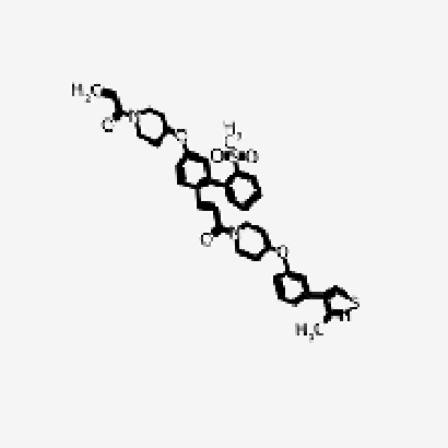 C=CC(=O)N1CCC(Oc2ccc(/C=C/C(=O)N3CCC(Oc4cccc(-c5csnc5C)c4)CC3)c(-c3ccccc3S(C)(=O)=O)c2)CC1